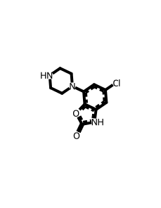 O=c1[nH]c2cc(Cl)cc(N3CCNCC3)c2o1